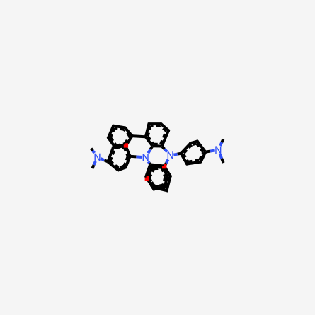 CN(C)c1ccc(N(c2ccccc2)c2cccc(-c3ccccc3)c2N(c2ccccc2)c2ccc(N(C)C)cc2)cc1